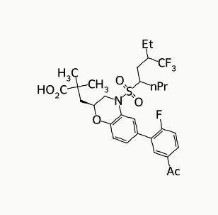 CCCC(CC(CC)C(F)(F)F)S(=O)(=O)N1C[C@H](CC(C)(C)C(=O)O)Oc2ccc(-c3cc(C(C)=O)ccc3F)cc21